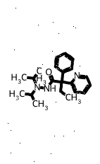 CCC(C(=O)NN(C(C)C)C(C)C)(c1ccccc1)c1ccccn1